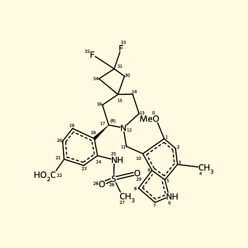 COc1cc(C)c2[nH]ccc2c1CN1CCC2(C[C@@H]1c1ccc(C(=O)O)cc1NS(C)(=O)=O)CC(F)(F)C2